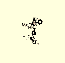 COc1cnc(-c2ccccc2C(C)C)nc1NCc1ccc(-n2nc(C(F)(F)F)cc2C)cc1